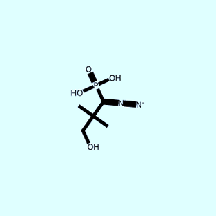 CC(C)(CO)C(=[N+]=[N-])P(=O)(O)O